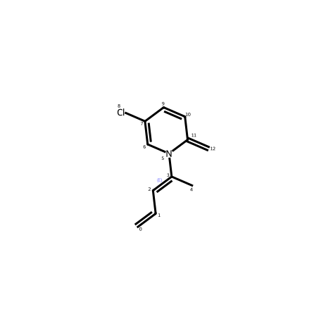 C=C/C=C(\C)N1C=C(Cl)C=CC1=C